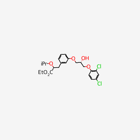 CCOC(=O)[C@H](Cc1cccc(OC[C@H](O)COc2ccc(Cl)cc2Cl)c1)OC(C)C